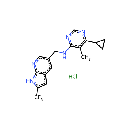 Cc1c(NCc2cnc3[nH]c(C(F)(F)F)cc3c2)ncnc1C1CC1.Cl